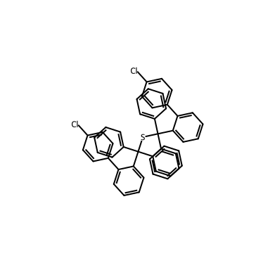 Clc1ccc(-c2ccccc2C(SC(c2ccccc2)(c2ccccc2)c2ccccc2-c2ccc(Cl)cc2)(c2ccccc2)c2ccccc2)cc1